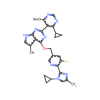 COc1ncnc(C2CC2)c1-c1nc(OCc2cnc(-c3nc(C(F)(F)F)cn3C3CC3)c(F)c2)c2c(C#N)c[nH]c2n1